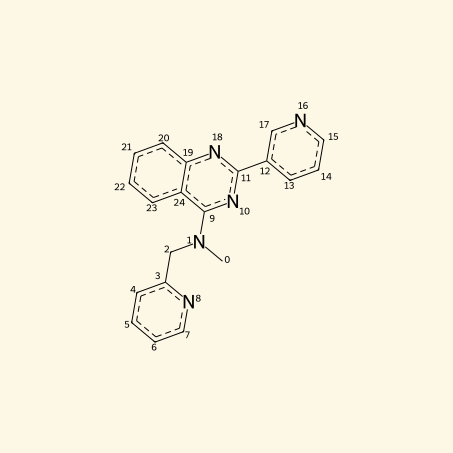 CN(Cc1ccccn1)c1nc(-c2cccnc2)nc2ccccc12